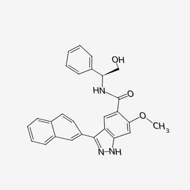 COc1cc2[nH]nc(-c3ccc4ccccc4c3)c2cc1C(=O)N[C@H](CO)c1ccccc1